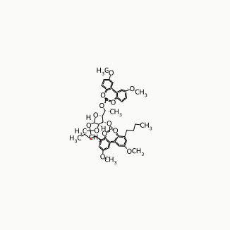 CCCCc1cc(OC)cc2c1op(O[C@@H]1[C@H]3OC(C)(C)O[C@H]3O[C@@H]1[C@@H](C)Op1oc3ccc(OC)cc3c3cc(OC)ccc3o1)oc1c(CCCC)cc(OC)cc12